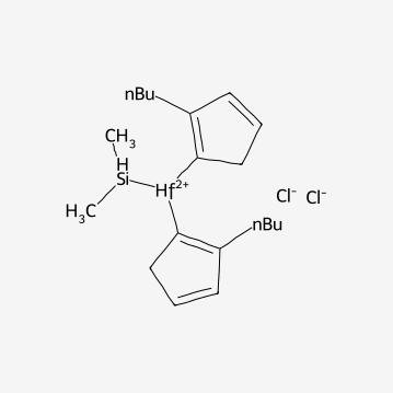 CCCCC1=[C]([Hf+2]([C]2=C(CCCC)C=CC2)[SiH](C)C)CC=C1.[Cl-].[Cl-]